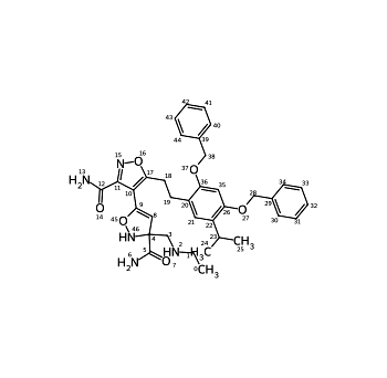 CCNCC1(C(N)=O)C=C(c2c(C(N)=O)noc2CCc2cc(C(C)C)c(OCc3ccccc3)cc2OCc2ccccc2)ON1